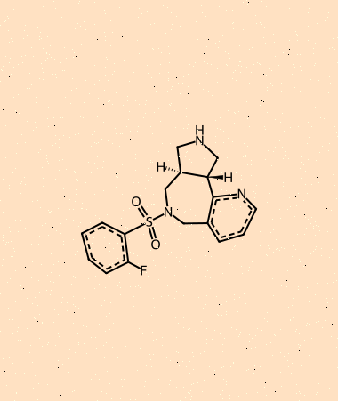 O=S(=O)(c1ccccc1F)N1Cc2cccnc2[C@H]2CNC[C@@H]2C1